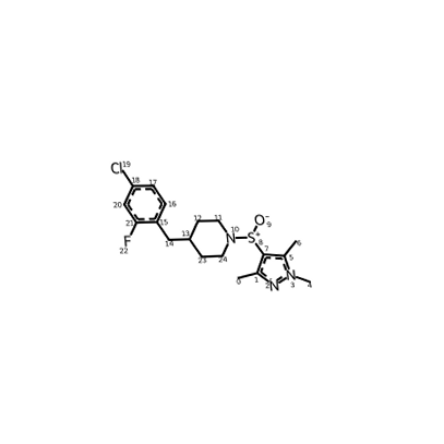 Cc1nn(C)c(C)c1[S+]([O-])N1CCC(Cc2ccc(Cl)cc2F)CC1